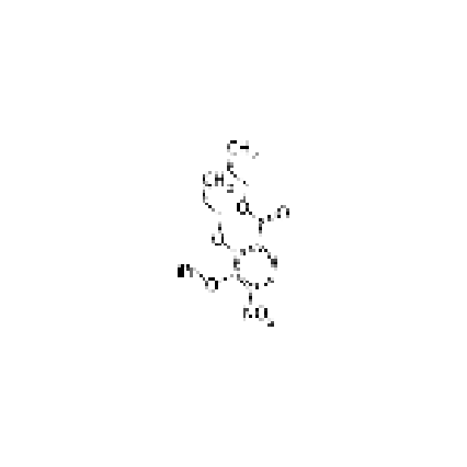 C=CCOC(=O)c1ccc([N+](=O)[O-])c(OC(C)C)c1OCC=C